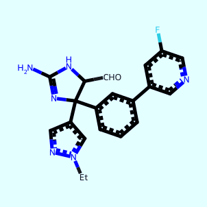 CCn1cc(C2(c3cccc(-c4cncc(F)c4)c3)N=C(N)NC2C=O)cn1